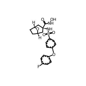 O=C(NO)[C@@]1(NS(=O)(=O)c2ccc(Oc3ccc(F)cc3)cc2)C[C@H]2CC[C@@H](C1)O2